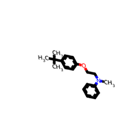 CN(CCOc1ccc(C(C)(C)C)cc1)c1ccccc1